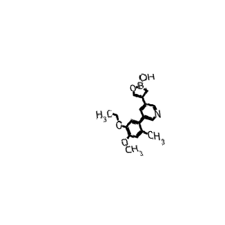 CCOc1cc(-c2cncc(C3=COB(O)C3)c2)c(C)cc1OC